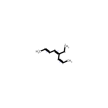 C\C=C/C(=C\C=C\C)CC